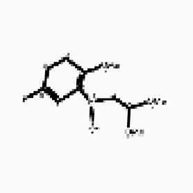 COC1=C(N(CC(OC)OC)C(C)=O)C=C(F)C[CH]1